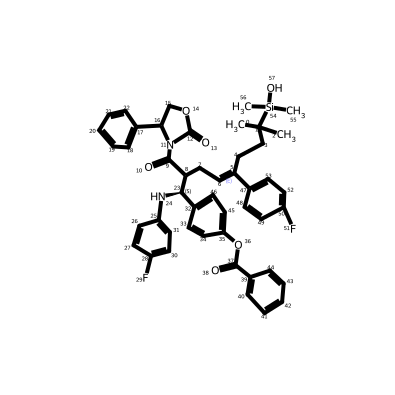 CC(C)(CC/C(=C\CC(C(=O)N1C(=O)OCC1c1ccccc1)[C@H](Nc1ccc(F)cc1)c1ccc(OC(=O)c2ccccc2)cc1)c1ccc(F)cc1)[Si](C)(C)O